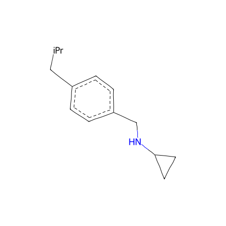 CC(C)Cc1ccc(CNC2CC2)cc1